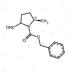 C[C@@H]1CCC(C=O)N1C(=O)OCc1ccccc1